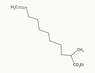 C=CCCCCCCCC(C)C(=O)OCC